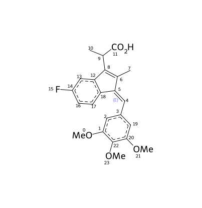 COc1cc(/C=C2/C(C)=C(C(C)C(=O)O)c3cc(F)ccc32)cc(OC)c1OC